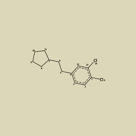 Clc1ccc(CCC2CCCC2)cc1Cl